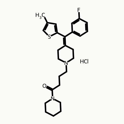 Cc1csc(C(=C2CCN(CCCC(=O)N3CCCCC3)CC2)c2cccc(F)c2)c1.Cl